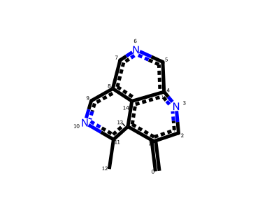 C=c1cnc2cncc3cnc(C)c1c32